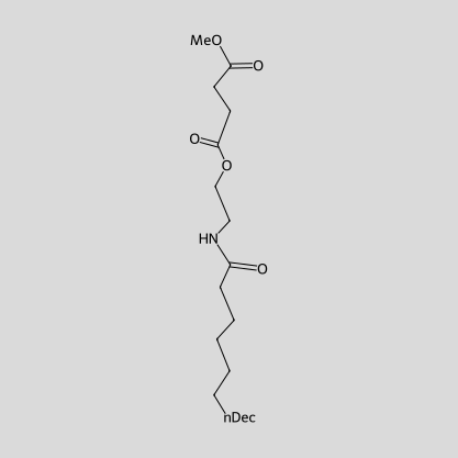 CCCCCCCCCCCCCCCC(=O)NCCOC(=O)CCC(=O)OC